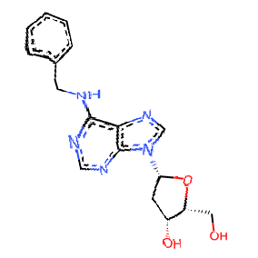 OC[C@H]1O[C@@H](n2cnc3c(NCc4ccccc4)ncnc32)C[C@H]1O